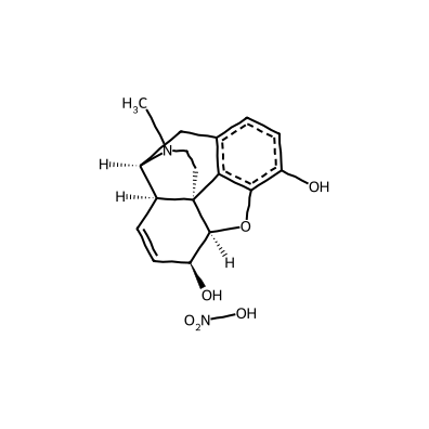 CN1CC[C@]23c4c5ccc(O)c4O[C@H]2[C@@H](O)C=C[C@H]3[C@H]1C5.O=[N+]([O-])O